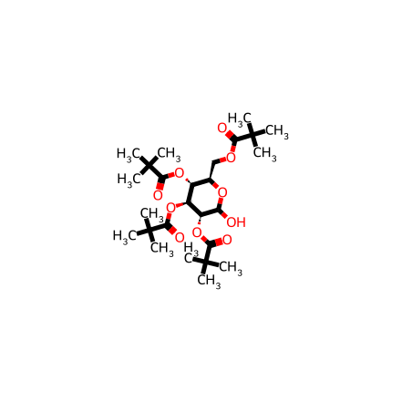 CC(C)(C)C(=O)OC[C@H]1OC(O)[C@H](OC(=O)C(C)(C)C)[C@@H](OC(=O)C(C)(C)C)[C@@H]1OC(=O)C(C)(C)C